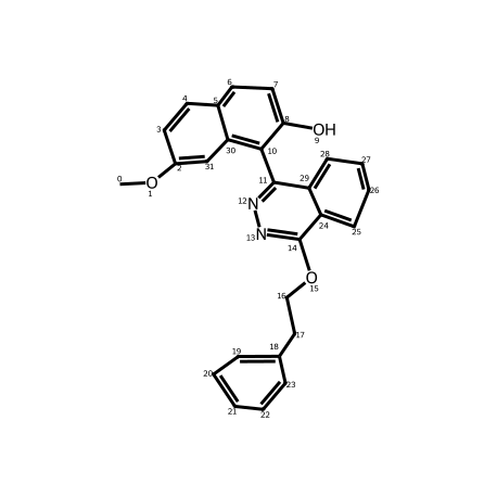 COc1ccc2ccc(O)c(-c3nnc(OCCc4ccccc4)c4ccccc34)c2c1